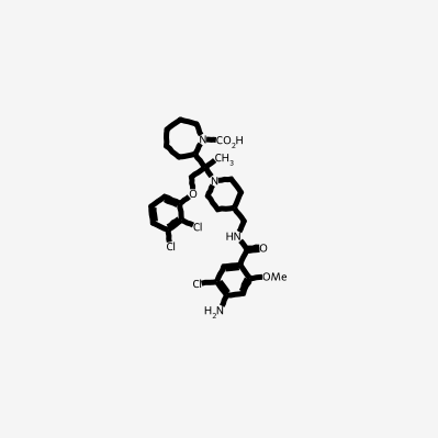 COc1cc(N)c(Cl)cc1C(=O)NCC1CCN(C(C)(COc2cccc(Cl)c2Cl)C2CCCCCN2C(=O)O)CC1